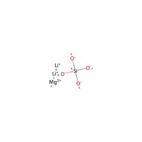 [Li+].[Li+].[Mg+2].[O-][Si]([O-])([O-])[O-]